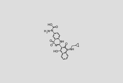 NN(C(=O)O)c1ccc2c(c1)S(=O)(=O)N=C(c1c(O)c3ccccc3n(NCC3CC3)c1=O)N2